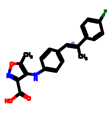 C/C(=C\c1ccc(Nc2c(C(=O)O)noc2C)cc1)c1ccc(F)cc1